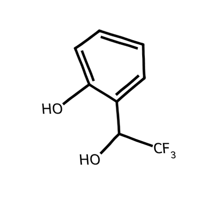 Oc1ccccc1C(O)C(F)(F)F